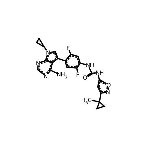 CC1(c2cc(NC(=O)Nc3cc(F)c(-c4cn(C5CC5)c5ncnc(N)c45)cc3F)on2)CC1